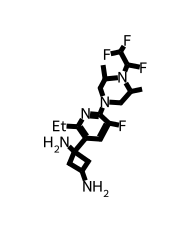 CCc1nc(N2CC(C)N(C(F)C(F)F)C(C)C2)c(F)cc1C1(N)CC(N)C1